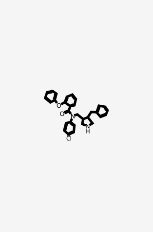 O=C(c1ccccc1Oc1ccccc1)N(CC1CNCC1Cc1ccccc1)c1ccc(Cl)cc1